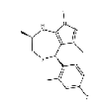 Cc1cc(Cl)ccc1[C@H]1SC[C@@H](C)Nc2c1c(C)nn2C